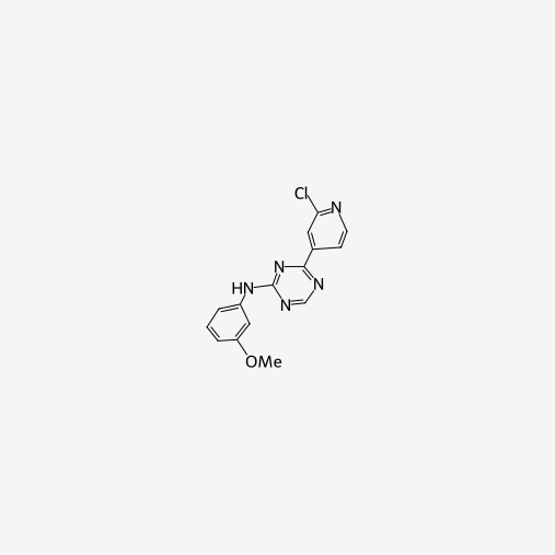 COc1cccc(Nc2ncnc(-c3ccnc(Cl)c3)n2)c1